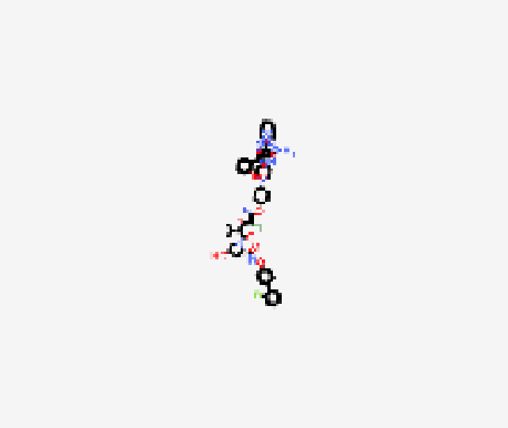 CC(C)[C@@H](C(=O)N1C[C@H](O)C[C@H]1C(=O)NOc1ccc(-c2ccccc2F)cc1)c1onc(O[C@H]2CC[C@H](N3CCC(c4cnc(N5C6CCC5CN(c5cc(-c7ccccc7O)nnc5N)C6)nc4)CC3)CC2)c1Cl